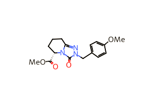 COC(=O)[C@@H]1CCCc2nn(Cc3ccc(OC)cc3)c(=O)n21